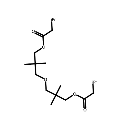 CC(C)CC(=O)OCC(C)(C)COCC(C)(C)COC(=O)CC(C)C